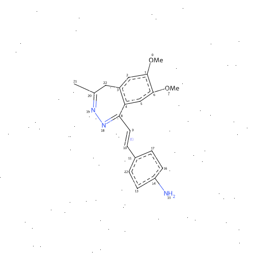 COc1cc2c(cc1OC)C(/C=C/c1ccc(N)cc1)=NN=C(C)C2